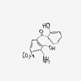 Nc1c(C(=O)O)ccc(C(=O)c2ccccc2O)c1O